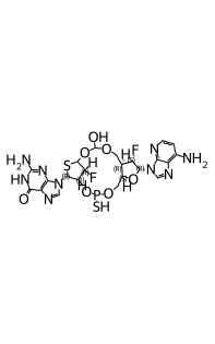 Nc1nc2c(ncn2[C@@H]2SC3OC(O)OC[C@H]4[C@H](F)[C@H](n5cnc6c(N)ccnc65)O[C@@H]4COP(S)O[C@@H]2[C@H]3F)c(=O)[nH]1